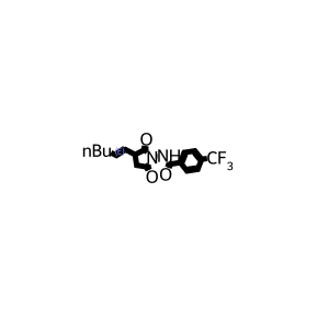 CCCC/C=C/C1CC(=O)N(NC(=O)c2ccc(C(F)(F)F)cc2)C1=O